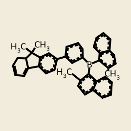 Cc1ccc2ccccc2c1B(c1cccc(-c2ccc3c(c2)C(C)(C)C2CC=CC=C32)c1)c1c(C)ccc2ccccc12